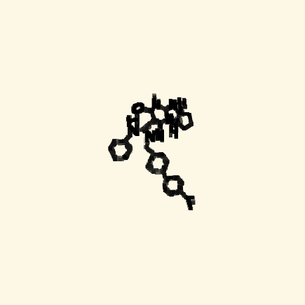 CN1C(=O)c2c(nn(Cc3ccc(-c4ccc(F)cc4)cc3)c2Nc2ccccc2)N2C1=N[C@@H]1CCC[C@@H]12